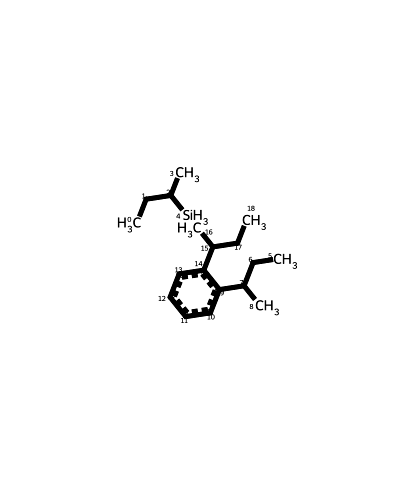 CCC(C)[SiH3].CCC(C)c1ccccc1C(C)CC